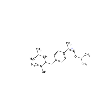 C=C(O)C(Cc1ccc(/C(C)=N\OC(C)C)cc1)NC(C)C